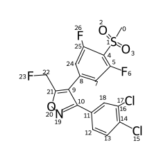 CS(=O)(=O)c1c(F)cc(-c2c(-c3ccc(Cl)c(Cl)c3)noc2CF)cc1F